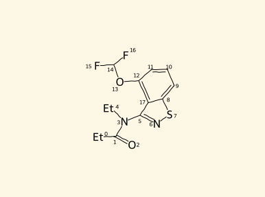 CCC(=O)N(CC)c1nsc2cccc(OC(F)F)c12